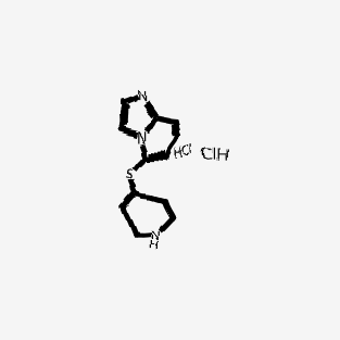 Cl.Cl.c1cc(SC2CCNCC2)n2ccnc2c1